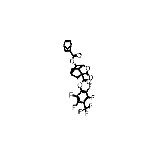 O=C(OC1C2CC3C1OC(=O)C3(C(=O)Oc1c(F)c(F)c(C(F)(F)F)c(F)c1F)C2)C1CC2C=CC1C2